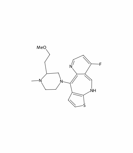 COCCC1CN(C2=c3nccc(F)c3=CNc3sccc32)CCN1C